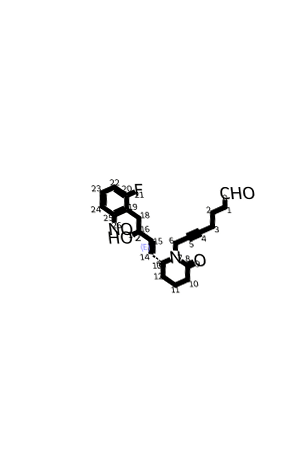 O=CCCCC#CCN1C(=O)CCC[C@@H]1/C=C/C(O)Cc1c(F)cccc1[N+](=O)[O-]